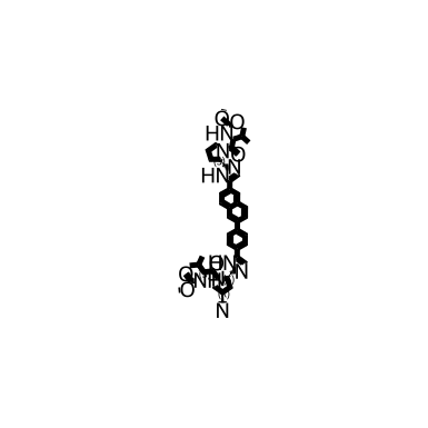 COC(=O)NC(C(=O)N1CCC[C@H]1c1ncc(-c2ccc3cc(-c4ccc(-c5cnc([C@@H]6C[C@@H](C#N)CN6C(=O)[C@@H](NC(=O)OC)C(C)C)[nH]5)cc4)ccc3c2)[nH]1)C(C)C